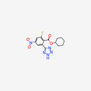 O=C(OC1CCCCC1)c1c(F)cc([N+](=O)[O-])cc1-c1nn[nH]n1